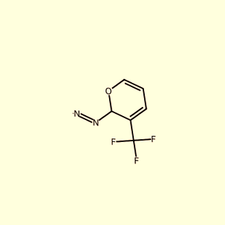 [N]=NC1OC=CC=C1C(F)(F)F